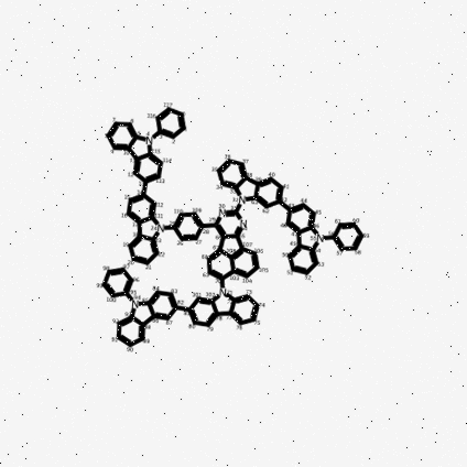 c1ccc(-n2c3ccccc3c3cc(-c4ccc5c6ccccc6n(-c6ccc(-c7nc(-n8c9ccccc9c9ccc(-c%10ccc%11c(c%10)c%10ccccc%10n%11-c%10ccccc%10)cc98)nc8c7-c7ccc(-n9c%10ccccc%10c%10ccc(-c%11ccc%12c(c%11)c%11ccccc%11n%12-c%11ccccc%11)cc%109)c9cccc-8c79)cc6)c5c4)ccc32)cc1